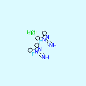 Cl.Cl.Fc1ccccc1-c1nc(C2CCNCC2)nc2ccccc12.Fc1ccccc1-c1nc(C2CCNCC2)nc2ccccc12